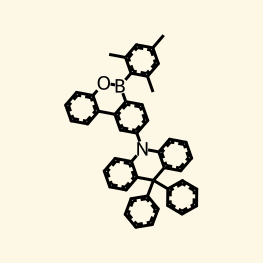 Cc1cc(C)c(B2Oc3ccccc3-c3cc(N4c5ccccc5C(c5ccccc5)(c5ccccc5)c5ccccc54)ccc32)c(C)c1